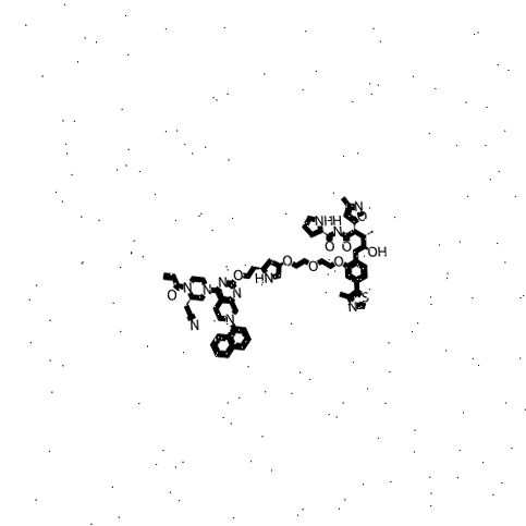 C=CC(=O)N1CCN(c2nc(OCC[C@H]3C[C@@H](OCCOCCOc4cc(-c5scnc5C)ccc4C[C@H](O)[C@@H](C)[C@H](C(=O)NC(=O)[C@@H]4CCCN4)c4cc(C)no4)CN3)nc3c2CCN(c2cccc4ccccc24)C3)C[C@@H]1CC#N